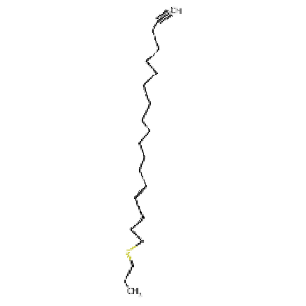 C#CCCCCCCCCCCCCCCCCSCCC